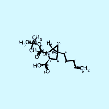 C=CCCC[C@@]12C[C@@H](C(=O)O)N(C(=O)OC(C)(C)C)[C@@H]1C2